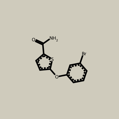 NC(=O)c1ccc(Oc2cccc(Br)c2)s1